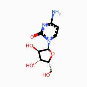 Nc1ccn([C@H]2O[C@H](CO)[C@H](O)[C@H]2O)c(=O)n1